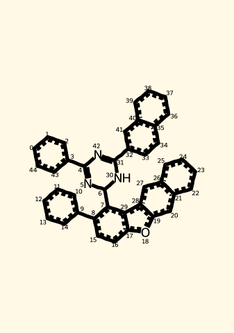 c1ccc(C2=NC(c3c(-c4ccccc4)ccc4oc5cc6ccccc6cc5c34)NC(c3ccc4ccccc4c3)=N2)cc1